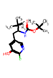 CC(C)(C)OC(=O)NC(Cc1cnc(Cl)c(O)c1)C(C)(C)C